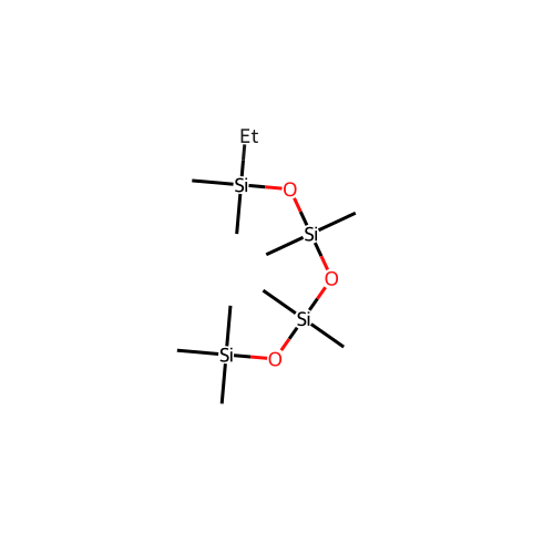 CC[Si](C)(C)O[Si](C)(C)O[Si](C)(C)O[Si](C)(C)C